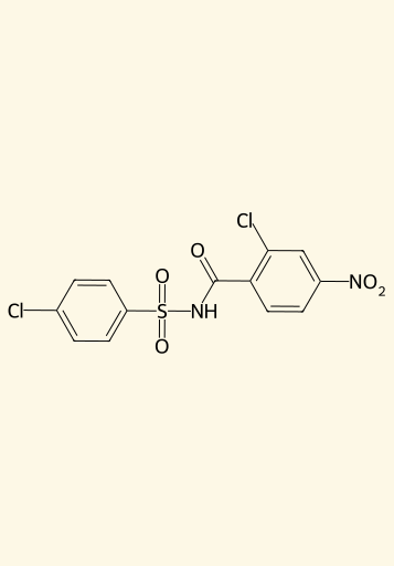 O=C(NS(=O)(=O)c1ccc(Cl)cc1)c1ccc([N+](=O)[O-])cc1Cl